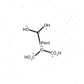 CCCCCC(O)O.O=C(O)OC(=O)O